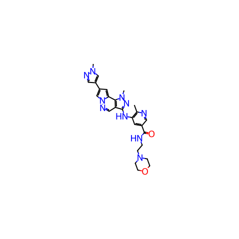 Cc1ncc(C(=O)NCCN2CCOCC2)cc1Nc1nn(C)c2c1cnn1cc(-c3cnn(C)c3)cc21